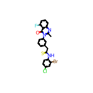 Cc1nc2cccc(F)c2c(=O)n1-c1cccc(CC(=S)Nc2ccc(Cl)cc2Br)c1